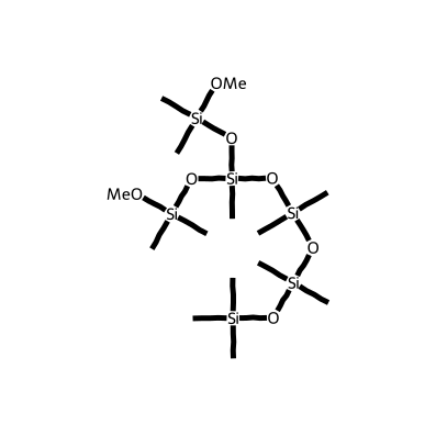 CO[Si](C)(C)O[Si](C)(O[Si](C)(C)OC)O[Si](C)(C)O[Si](C)(C)O[Si](C)(C)C